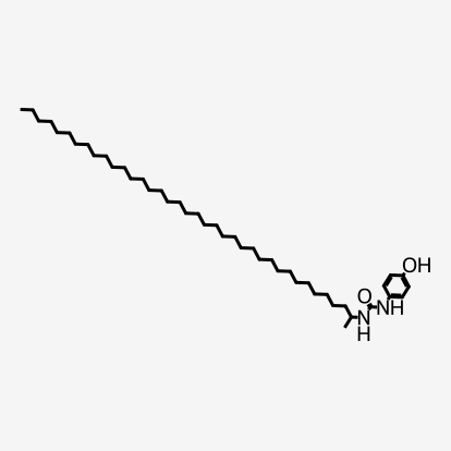 CCCCCCCCCCCCCCCCCCCCCCCCCCCCCCCCCCCCC(C)NC(=O)Nc1ccc(O)cc1